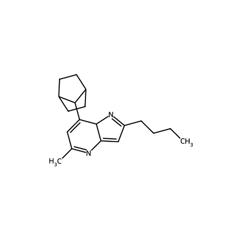 CCCCC1=NC2C(=C1)N=C(C)C=C2C1C2CCC1CC2